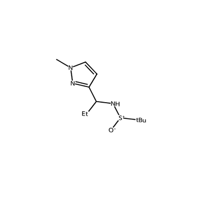 CCC(N[S+]([O-])C(C)(C)C)c1ccn(C)n1